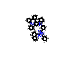 c1ccc(-c2nc(-c3cccc(-n4c5ccccc5c5c6c7c(cc54)c4ccccc4n7-c4ccccc4-c4ccccc4-6)c3)nc(-c3cccc4ccccc34)n2)cc1